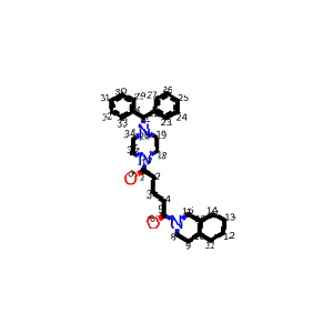 O=C(CCCC(=O)N1CCC2CCCCC2C1)N1CCN(C(c2ccccc2)c2ccccc2)CC1